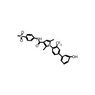 Cc1cc(C(=O)Nc2ccc(S(C)(=O)=O)cc2)c(C)n1-c1ccc(-c2cccc(O)c2)cc1C(F)(F)F